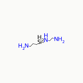 NCCC[SiH2]CNCCN